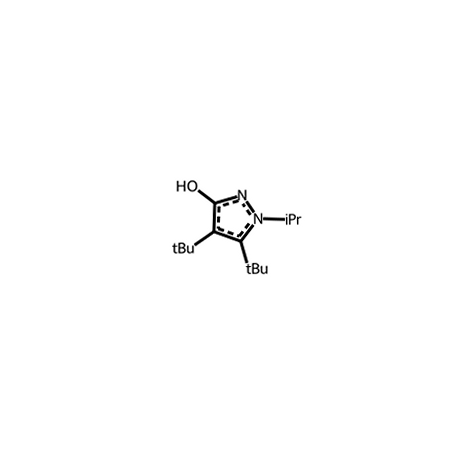 CC(C)n1nc(O)c(C(C)(C)C)c1C(C)(C)C